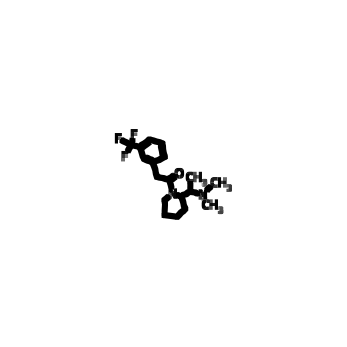 CC(C1CCCCN1C(=O)Cc1cccc(C(F)(F)F)c1)N(C)C